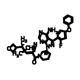 CC(C1COC1)C(C)(C)C=C(C#N)C(=O)N1CCC[C@@H](n2nc(-c3ccc(Oc4ccccc4)cc3F)c3c(N)ncnc32)C1